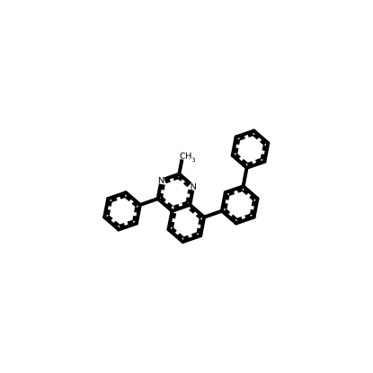 Cc1nc(-c2ccccc2)c2cccc(-c3cccc(-c4ccccc4)c3)c2n1